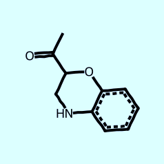 CC(=O)C1CNc2ccccc2O1